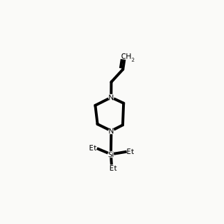 C=CCN1CCN([Si](CC)(CC)CC)CC1